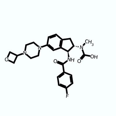 CN(C(=O)O)[C@H]1Cc2ccc(N3CCN(C4COC4)CC3)cc2[C@@H]1NC(=O)c1ccc(F)cc1